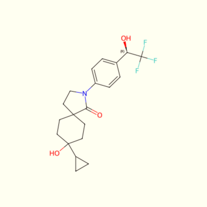 O=C1N(c2ccc([C@@H](O)C(F)(F)F)cc2)CCC12CCC(O)(C1CC1)CC2